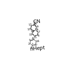 CCCCCCCC1CC=C(c2ccc3cc(C#N)ccc3c2)CC1